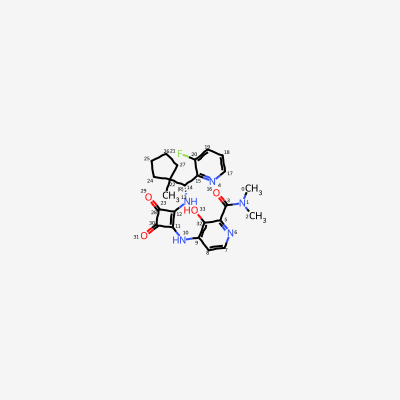 CN(C)C(=O)c1nccc(Nc2c(N[C@@H](c3ncccc3F)C3(C)CCCC3)c(=O)c2=O)c1O